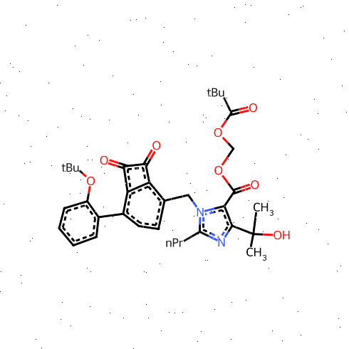 CCCc1nc(C(C)(C)O)c(C(=O)OCOC(=O)C(C)(C)C)n1Cc1ccc(-c2ccccc2OC(C)(C)C)c2c(=O)c(=O)c12